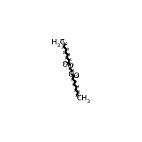 CCCCCCCCC(=O)OCCOC(=O)CCCCCCCC